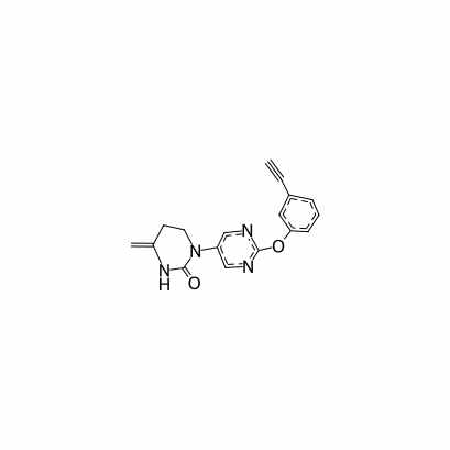 C#Cc1cccc(Oc2ncc(N3CCC(=C)NC3=O)cn2)c1